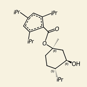 CC(C)c1cc(C(C)C)c(C(=O)O[C@]2(C)CC[C@@H](C(C)C)[C@H](O)C2)c(C(C)C)c1